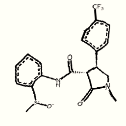 CN1C[C@H](c2ccc(C(F)(F)F)cc2)[C@@H](C(=O)Nc2ccccc2[S+](C)[O-])C1=O